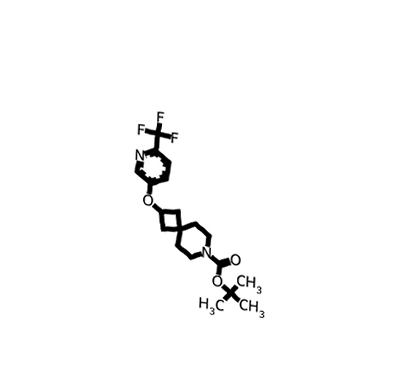 CC(C)(C)OC(=O)N1CCC2(CC1)CC(Oc1ccc(C(F)(F)F)nc1)C2